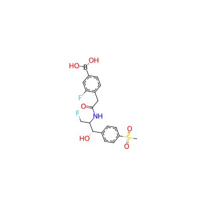 CS(=O)(=O)c1ccc([C@H](O)C(CF)NC(=O)Cc2ccc(B(O)O)cc2F)cc1